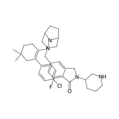 CC1(C)CCC(CN2C3CCC2CN(Cc2cc(F)c4c(c2)CN(C2CCCNC2)C4=O)C3)=C(c2ccc(Cl)cc2)C1